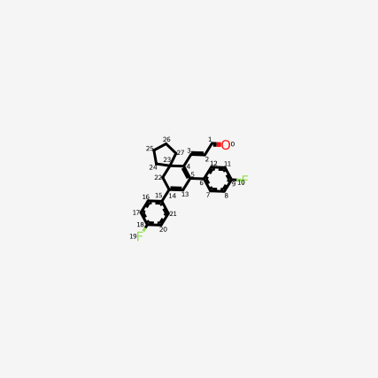 O=CC=CC1=C(c2ccc(F)cc2)C=C(c2ccc(F)cc2)CC12CCCC2